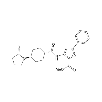 COC(=O)c1sc(-c2ccccc2)cc1NC(=O)[C@H]1CC[C@H](N2CCCC2=O)CC1